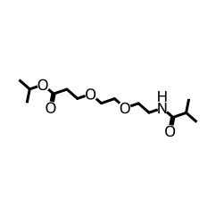 CC(C)OC(=O)CCOCCOCCNC(=O)C(C)C